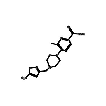 CNC(=O)c1ccc(N2CCN(Cc3cc([N+](=O)[O-])sn3)CC2)c(C)n1